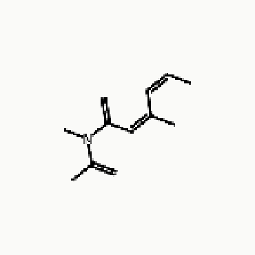 C=C(C)N(C)C(=C)/C=C(C)\C=C/C